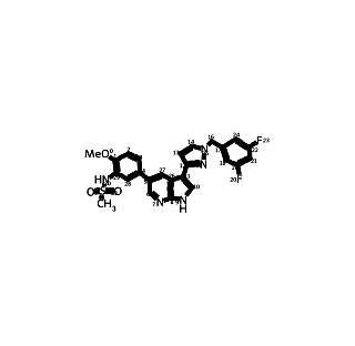 COc1ccc(-c2cnc3[nH]cc(-c4ccn(Cc5cc(F)cc(F)c5)n4)c3c2)cc1NS(C)(=O)=O